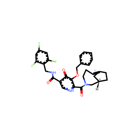 O=C(NCc1c(F)cc(F)cc1F)c1c[nH]c(C(=O)N2CC/C=C3\CC[C@@H](C3)C2)c(OCc2ccccc2)c1=O